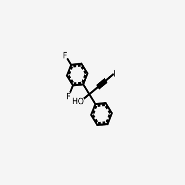 OC(C#CI)(c1ccccc1)c1ccc(F)cc1F